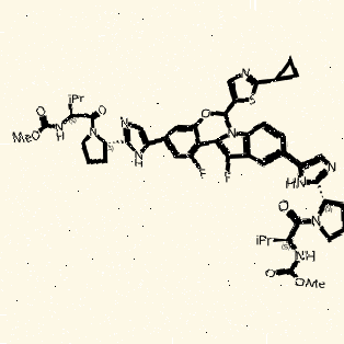 COC(=O)N[C@H](C(=O)N1CCC[C@H]1c1ncc(-c2cc(F)c3c(c2)OC(c2cnc(C4CC4)s2)n2c-3c(F)c3cc(-c4cnc([C@@H]5CCCN5C(=O)[C@@H](NC(=O)OC)C(C)C)[nH]4)ccc32)[nH]1)C(C)C